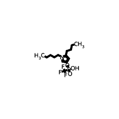 CCCCCn1cccc1CCCC.O=S(=O)(O)C(F)(F)F